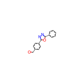 O=Cc1ccc(-c2nnc(-c3ccccc3)o2)cc1